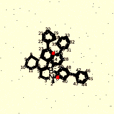 C[N+]1(C)CCC(C2CCCCC2)=C(c2ccc(-c3ccccc3)cc2)[B-]1(c1ccc(-c2ccccc2)cc1)c1ccc(-c2ccccc2)cc1